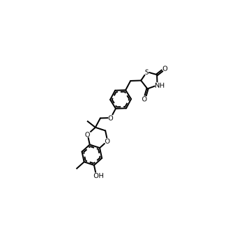 Cc1cc2c(cc1O)OCC(C)(COc1ccc(CC3SC(=O)NC3=O)cc1)O2